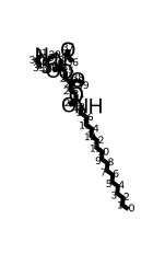 CCCCCCCCCCCCCCCCCCNC(=O)OCC(COC(=O)N(Cc1nccs1)C(C)=O)OC